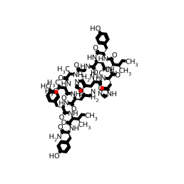 CC[C@H](C)[C@H](NC(=O)[C@H](Cc1ccc(O)cc1)NC(=O)[C@H](CC(=O)CN)NC(=O)[C@@H](NC(=O)[C@H](C)NC(=O)CNC(=O)[C@H](CC(C)C)NC(=O)[C@H](Cc1ccc(O)cc1)NC(=O)[C@@H](NC(=O)[C@H](Cc1cnc[nH]1)NC(=O)[C@@H](N)Cc1cnc[nH]1)[C@@H](C)CC)C(C)C)C(=O)N[C@@H](Cc1ccc(O)cc1)C(N)=O